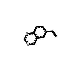 C=Cc1ccc2ncncc2c1